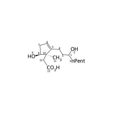 CCCCCC(O)CCC1=CC[C@H](O)[C@]1(C)CC(=O)O